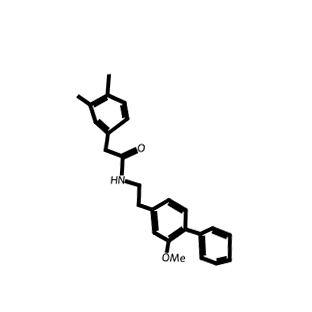 COc1cc(CCNC(=O)Cc2ccc(C)c(C)c2)ccc1-c1ccccc1